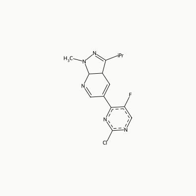 CC(C)C1=NN(C)C2N=CC(c3nc(Cl)ncc3F)=CC12